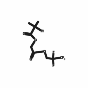 CCC(C)(C)C(=O)OCC(=O)OCC(F)(F)C(F)(F)F